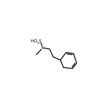 CN(CCC1C=CC=CC1)S(=O)(=O)O